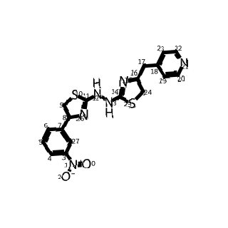 O=[N+]([O-])c1cccc(C2CSC(NNC3=NC(Cc4ccncc4)CS3)=N2)c1